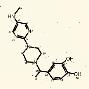 CNc1cnc(N2CCN(C(C)c3ccc(O)c(O)c3)CC2)nc1